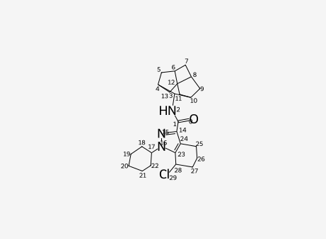 O=C(NC1C2CC3CC4CC1CC34C2)c1nn(C2CCCCC2)c2c1CCCC2Cl